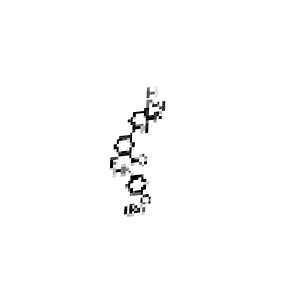 CC(C)(C)Oc1ccc(NC(=O)c2cc(-c3ccc4[nH]nnc4n3)ccc2F)cc1